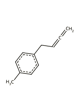 C=C=CCc1ccc(C)cc1